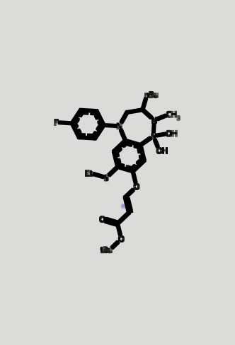 CCCCC1CN(c2ccc(F)cc2)c2cc(SCC)c(O/C=C/C(=O)OC(C)(C)C)cc2S(O)(O)N1C